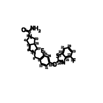 NC(=O)N1CC2=CN(Cc3ccc(Oc4nc5c(F)cccc5s4)cc3F)CC2C1